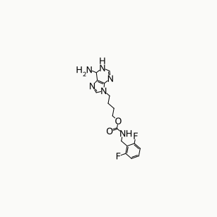 NC1NC=Nc2c1ncn2CCCCOC(=O)NCc1c(F)cccc1F